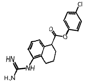 N=C(N)Nc1cccc2c1CCCC2C(=O)Oc1ccc(Cl)cc1